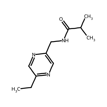 CCc1cnc(CNC(=O)C(C)C)cn1